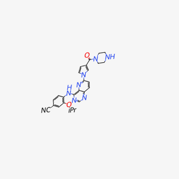 CC(C)Oc1cc(C#N)ccc1Nc1ncnc2ccc(-n3ccc(C(=O)N4CCNCC4)c3)nc12